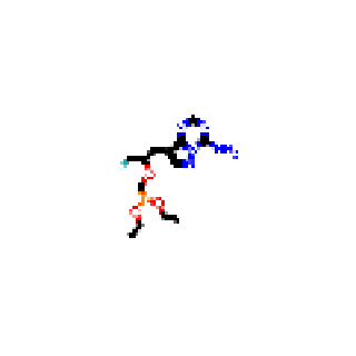 CCOP(COC(CF)Cc1cnn2c(N)ncnc12)OCC